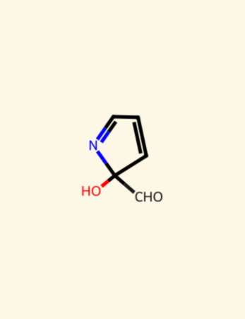 O=CC1(O)C=CC=N1